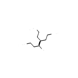 CCCCCCCCCCCCC(CCCCCCCCCC)=C(CCCCCCCCCCCC)CCCCCCCCCCCC